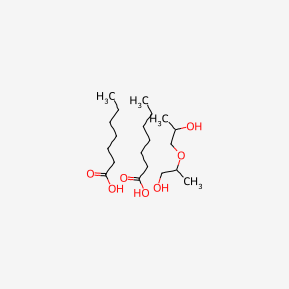 CC(O)COC(C)CO.CCCCCCC(=O)O.CCCCCCC(=O)O